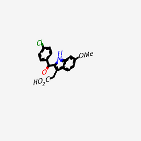 COc1ccc2c(CC(=O)O)c(C(=O)c3ccc(Cl)cc3)[nH]c2c1